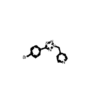 Brc1ccc(-c2nnn(Cc3ccncc3)n2)cc1